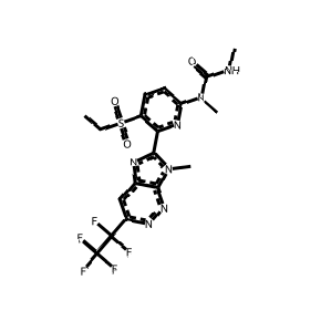 CCS(=O)(=O)c1ccc(N(C)C(=O)NC)nc1-c1nc2cc(C(F)(F)C(F)(F)F)nnc2n1C